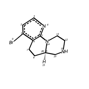 Brc1ccnc2c1CC[C@@H]1CNCCN21